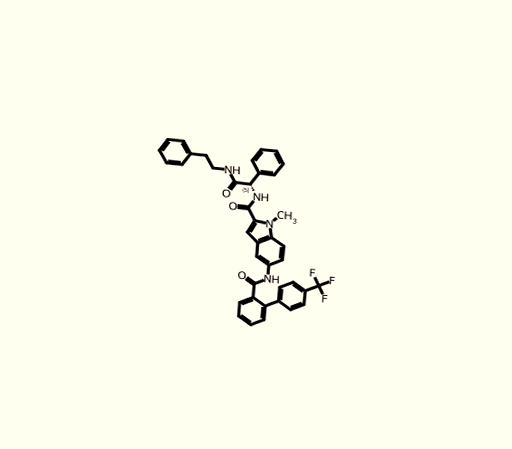 Cn1c(C(=O)N[C@H](C(=O)NCCc2ccccc2)c2ccccc2)cc2cc(NC(=O)c3ccccc3-c3ccc(C(F)(F)F)cc3)ccc21